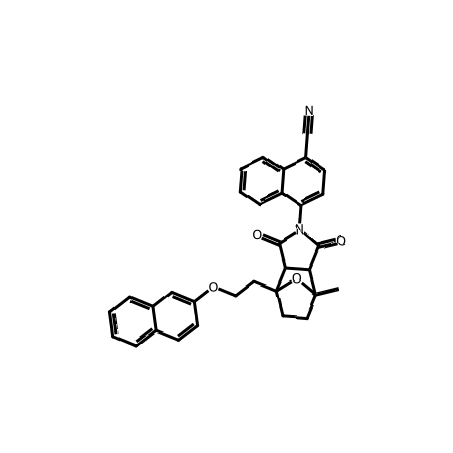 CC12CCC(CCOc3ccc4ccccc4c3)(O1)C1C(=O)N(c3ccc(C#N)c4ccccc34)C(=O)C12